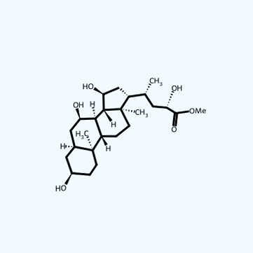 COC(=O)[C@@H](O)C[C@@H](C)[C@H]1C[C@H](O)[C@H]2[C@@H]3[C@H](O)C[C@@H]4C[C@H](O)CC[C@]4(C)[C@H]3CC[C@@]21C